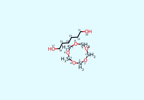 O1[SiH2]O[SiH2]O[SiH2]O[SiH2]O[SiH2]1.OCCCCCCO